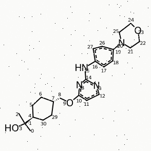 CC(C)(O)[C@H]1CC[C@H](COc2ccnc(Nc3ccc(N4CCOCC4)cc3)n2)CC1